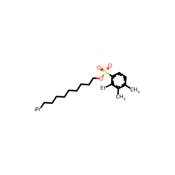 CCc1c(S(=O)(=O)OCCCCCCCCCC(C)C)ccc(C)c1C